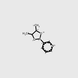 CC1OB(c2cccnc2)OC1C